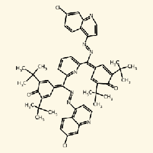 CC(C)(C)C1=CC(=C(/N=N/c2ccnc3cc(Cl)ccc23)c2cccc(C(/N=N/c3ccnc4cc(Cl)ccc34)=C3C=C(C(C)(C)C)C(=O)C(C(C)(C)C)=C3)n2)C=C(C(C)(C)C)C1=O